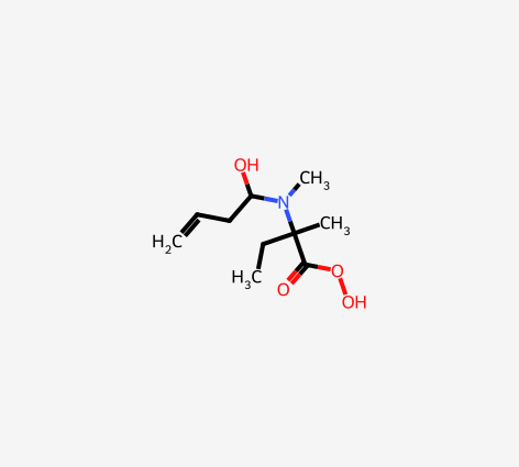 C=CCC(O)N(C)C(C)(CC)C(=O)OO